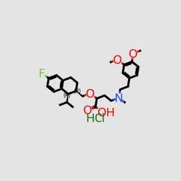 COc1ccc(CCN(C)CCC(OC[C@@H]2CCc3cc(F)ccc3[C@@H]2C(C)C)C(=O)O)cc1OC.Cl